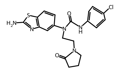 Nc1nc2cc(N(CCN3CCCC3=O)C(=O)Nc3ccc(Cl)cc3)ccc2s1